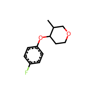 CC1COCCC1Oc1ccc(F)cc1